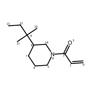 C=CC(=O)N1CCCC(C(C)(C)CC)C1